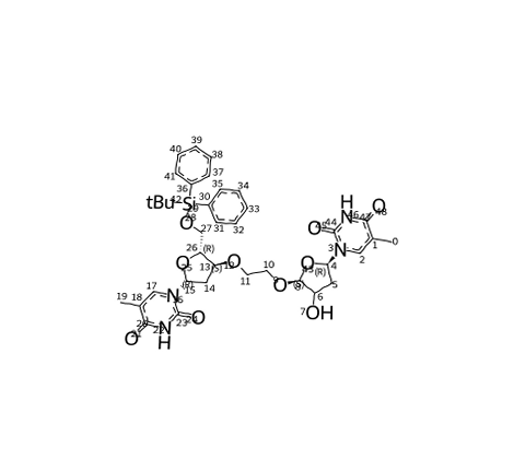 Cc1cn([C@H]2CC(O)[C@@H](OCCO[C@H]3C[C@H](n4cc(C)c(=O)[nH]c4=O)O[C@@H]3CO[Si](c3ccccc3)(c3ccccc3)C(C)(C)C)O2)c(=O)[nH]c1=O